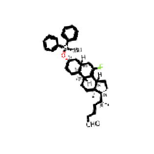 C[C@H](CCCC=O)[C@H]1CC[C@H]2C3=C(F)C[C@H]4C[C@@H](O[Si](c5ccccc5)(c5ccccc5)C(C)(C)C)CC[C@]4(C)[C@H]3CC[C@]12C